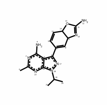 Cc1nc(N)c2c(C3=CC4N=C(N)OC4C=C3)nn(C(C)C)c2n1